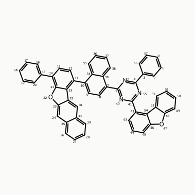 c1ccc(-c2nc(-c3ccc(-c4ccc(-c5ccccc5)c5oc6cc7ccccc7cc6c45)c4ccccc34)nc(-c3cccc4oc5ccccc5c34)n2)cc1